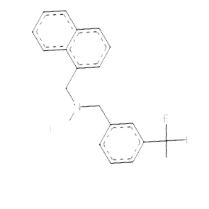 CN(Cc1cccc(C(F)(F)F)c1)Cc1cccc2ccccc12